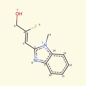 Cn1c(C=C(F)CO)nc2ccccc21